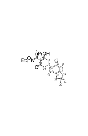 CCCC(=NOCC)C1=C(O)CC(c2c(C)c3c(c(C)c2Cl)CC(C)(C)C3)CC1=O